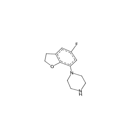 Fc1cc2c(c(N3CCNCC3)c1)OCC2